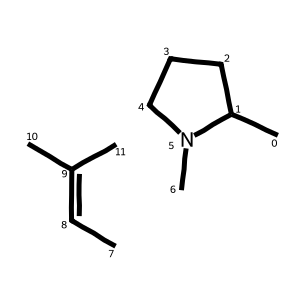 CC1CCCN1C.CC=C(C)C